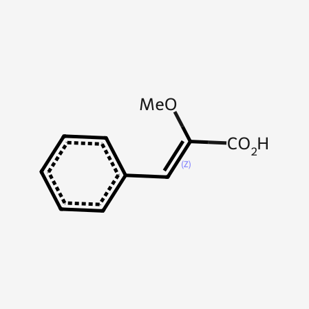 CO/C(=C\c1ccccc1)C(=O)O